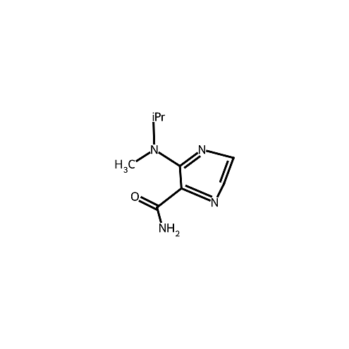 CC(C)N(C)c1nccnc1C(N)=O